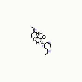 C=C/C(=C\C)NC(=O)C(=O)NC(/C=C\C)=C/C=C\C